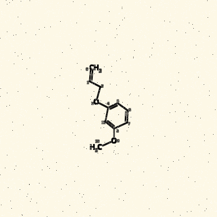 C=CCOc1cccc(OC)c1